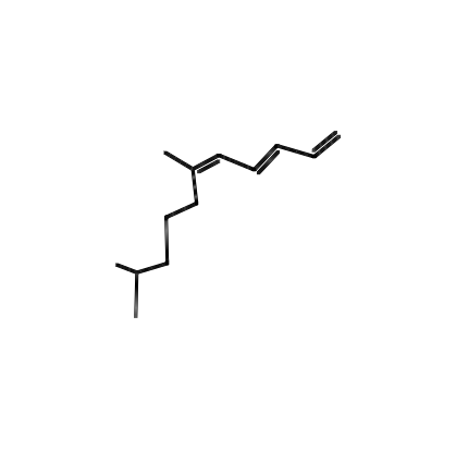 C=CC=CC=C(C)CCCC(C)C